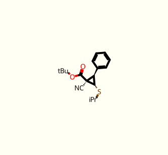 CC(C)S[C@H]1[C@H](c2ccccc2)[C@]1(C#N)C(=O)OC(C)(C)C